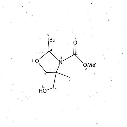 COC(=O)N1C(C(C)(C)C)OCC1(C)CO